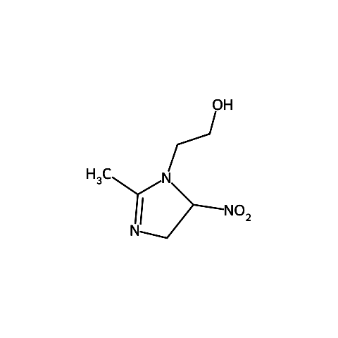 CC1=NCC([N+](=O)[O-])N1CCO